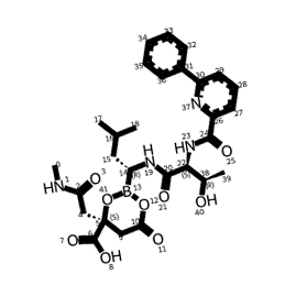 CNC(=O)C[C@@]1(C(=O)O)CC(=O)OB([C@H](CC(C)C)NC(=O)[C@@H](NC(=O)c2cccc(-c3ccccc3)n2)[C@@H](C)O)O1